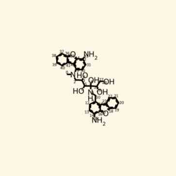 CN(CC(O)C(O)C(O)(NCc1ccc(N)c2oc3ccccc3c12)C(O)CO)c1ccc(N)c2oc3ccccc3c12